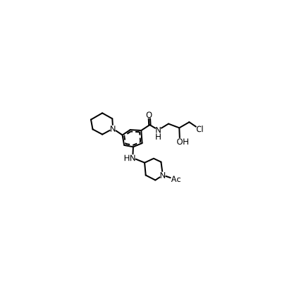 CC(=O)N1CCC(Nc2cc(C(=O)NCC(O)CCl)cc(N3CCCCC3)c2)CC1